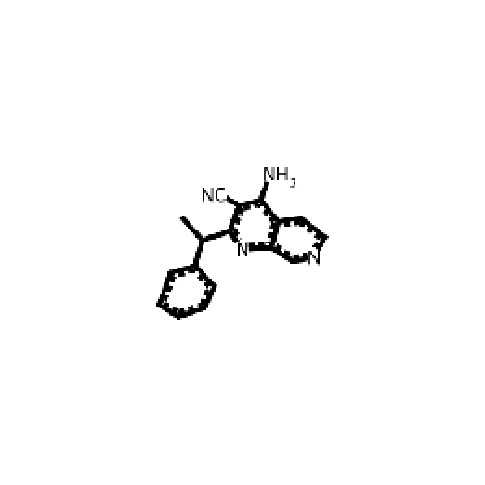 CC(c1ccccc1)c1nc2cnccc2c(N)c1C#N